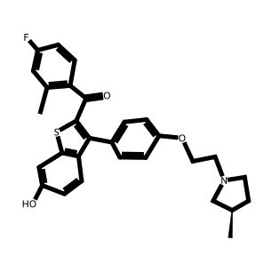 Cc1cc(F)ccc1C(=O)c1sc2cc(O)ccc2c1-c1ccc(OCCN2CC[C@@H](C)C2)cc1